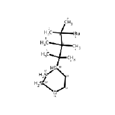 CCC(C)C(C)(C)C(C)(C)C(C)(C)[SiH]1CCO[SiH2][SiH2]1